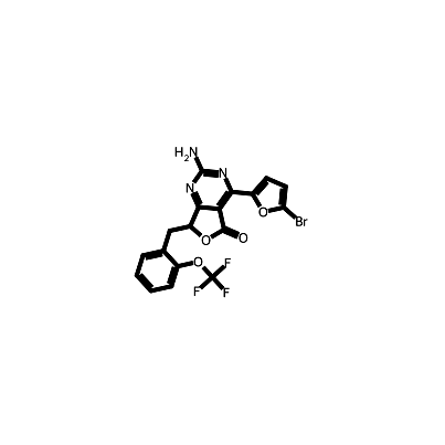 Nc1nc(-c2ccc(Br)o2)c2c(n1)C(Cc1ccccc1OC(F)(F)F)OC2=O